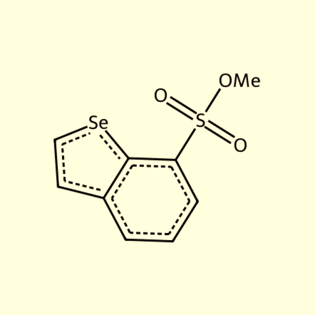 COS(=O)(=O)c1cccc2cc[se]c12